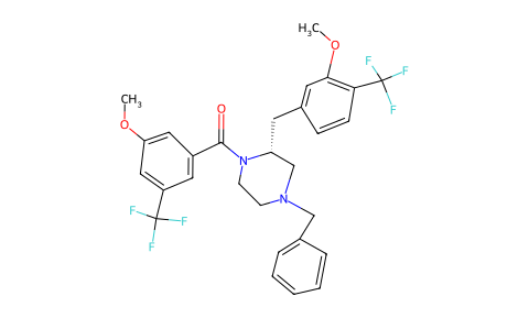 COc1cc(C(=O)N2CCN(Cc3ccccc3)C[C@H]2Cc2ccc(C(F)(F)F)c(OC)c2)cc(C(F)(F)F)c1